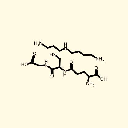 NC(CCC(=O)NC(CS)C(=O)NCC(=O)O)C(=O)O.NCCCCNCCCN